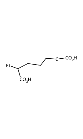 CCC(CCCCC(=O)O)C(=O)O